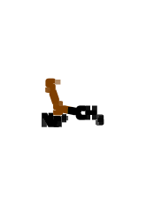 CS[S-].[Na+]